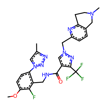 COc1ccc(-n2cc(C)nn2)c(CNC(=O)c2cn(Cc3ccc4c(n3)CCN(C)C4)nc2C(F)(F)F)c1F